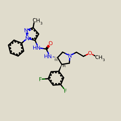 COCCN1C[C@@H](NC(=O)Nc2cc(C)nn2-c2ccccc2)[C@H](c2cc(F)cc(F)c2)C1